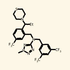 CCC(c1ccc(C(F)(F)F)cc1CN(Cc1cc(C(F)(F)F)cc(C(F)(F)F)c1)c1nnn(C)n1)N1CCSCC1